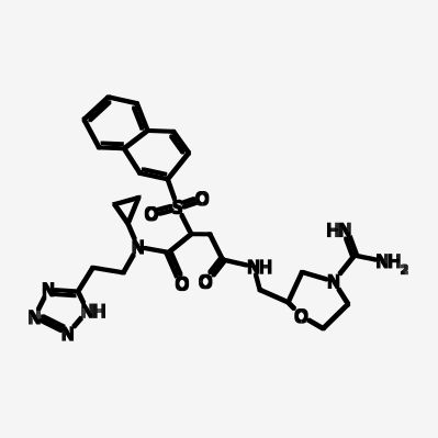 N=C(N)N1CCOC(CNC(=O)CC(C(=O)N(CCc2nnn[nH]2)C2CC2)S(=O)(=O)c2ccc3ccccc3c2)C1